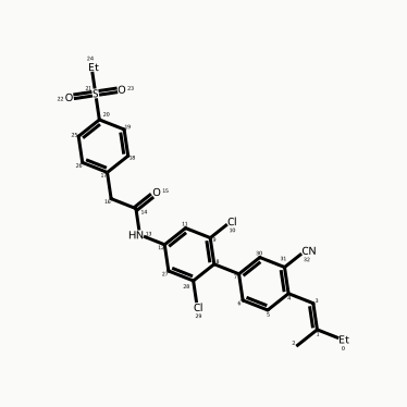 CCC(C)=Cc1ccc(-c2c(Cl)cc(NC(=O)Cc3ccc(S(=O)(=O)CC)cc3)cc2Cl)cc1C#N